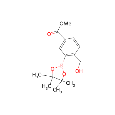 COC(=O)c1ccc(CO)c(B2OC(C)(C)C(C)(C)O2)c1